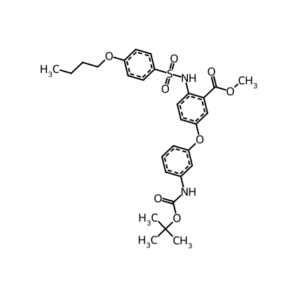 CCCCOc1ccc(S(=O)(=O)Nc2ccc(Oc3cccc(NC(=O)OC(C)(C)C)c3)cc2C(=O)OC)cc1